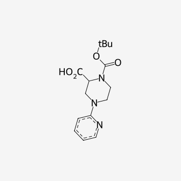 CC(C)(C)OC(=O)N1CCN(c2ccccn2)CC1C(=O)O